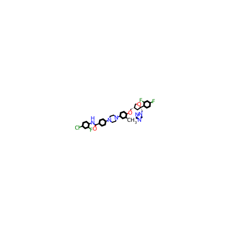 Cc1cc(N2CCN(c3ccc(C(=O)Nc4ccc(Cl)cc4F)cc3)CC2)ccc1OC[C@@H]1CO[C@@](Cn2cncn2)(c2ccc(F)cc2F)C1